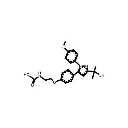 COc1ccc(-n2nc(C(C)(C)O)cc2-c2ccc(OCCNC(=O)O)cc2)cc1